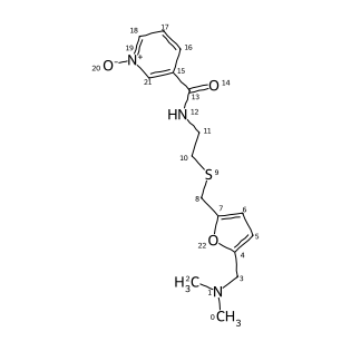 CN(C)Cc1ccc(CSCCNC(=O)c2ccc[n+]([O-])c2)o1